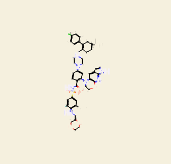 CC1(C)CCC(CN2CCN(c3ccc(C(=O)NS(=O)(=O)c4cc(F)c(NCC5COCCO5)c([N+](=O)[O-])c4)c(N4CCOc5nc6[nH]ccc6cc54)c3)CC2)=C(c2ccc(Cl)cc2)C1